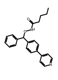 CCCCC(=O)NOC(c1ccccc1)c1ccc(-c2ccncc2)cc1